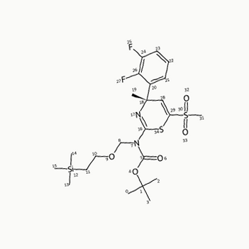 CC(C)(C)OC(=O)N(COCC[Si](C)(C)C)C1=N[C@](C)(c2cccc(F)c2F)C=C(S(C)(=O)=O)S1